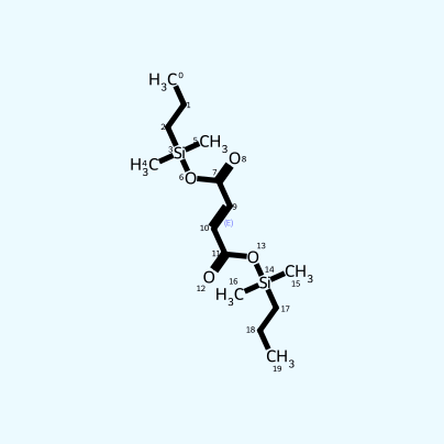 CCC[Si](C)(C)OC(=O)/C=C/C(=O)O[Si](C)(C)CCC